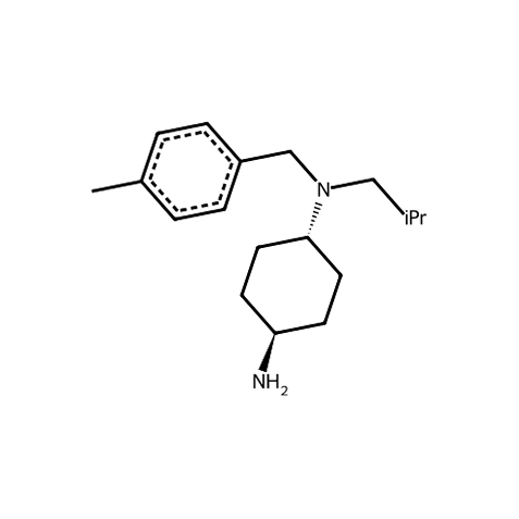 Cc1ccc(CN(CC(C)C)[C@H]2CC[C@H](N)CC2)cc1